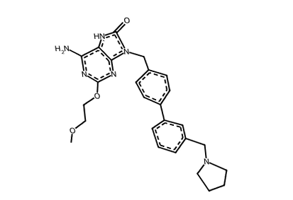 COCCOc1nc(N)c2[nH]c(=O)n(Cc3ccc(-c4cccc(CN5CCCC5)c4)cc3)c2n1